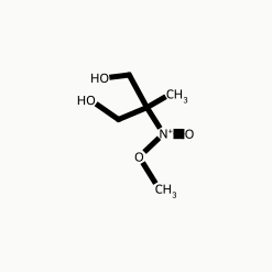 CO[N+](=O)C(C)(CO)CO